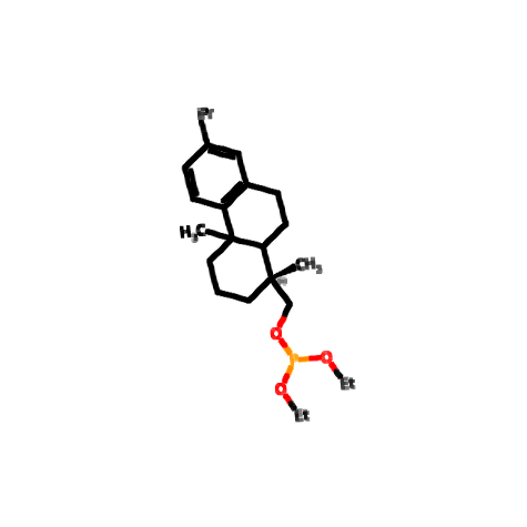 CCOP(OCC)OC[C@]1(C)CCCC2(C)c3ccc(C(C)C)cc3CCC21